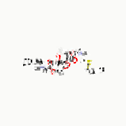 O=CCSC/C=C\C(=O)O[C@H]1CO[C@H]2[C@@H]1OC[C@H]2OC(=O)/C=C\C(=O)O